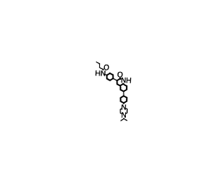 CCCC(=O)Nc1ccc(-c2cc3cc(-c4ccc(N5CCN(C(C)C)CC5)cc4)ccc3[nH]c2=O)cc1